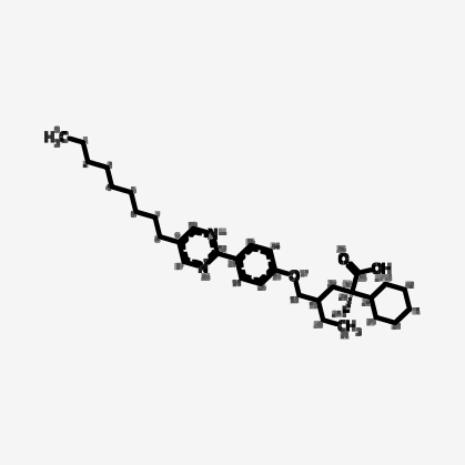 CCCCCCCCCc1cnc(-c2ccc(OCC(CC)C[C@@](F)(C(=O)O)C3CCCCC3)cc2)nc1